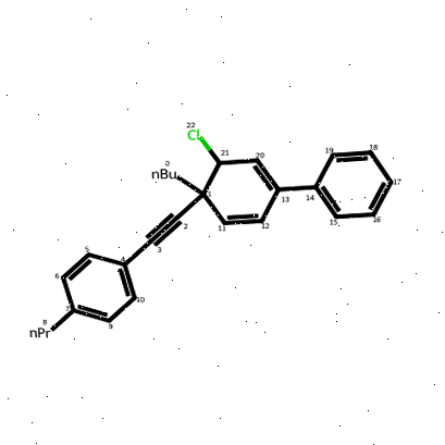 CCCCC1(C#Cc2ccc(CCC)cc2)C=CC(c2ccccc2)=CC1Cl